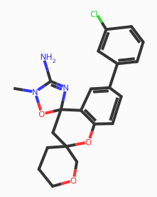 CN1OC2(CC3(CCCOC3)Oc3ccc(-c4cccc(Cl)c4)cc32)N=C1N